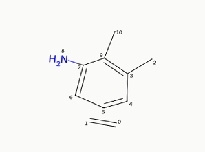 C=C.Cc1cccc(N)c1C